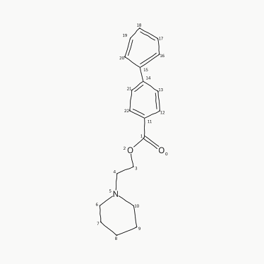 O=C(OCCN1CCCCC1)c1ccc(-c2ccccc2)cc1